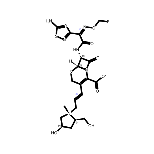 C[N+]1(C/C=C/C2=C(C(=O)[O-])N3C(=O)[C@@H](NC(=O)/C(=N\OCF)c4nsc(N)n4)[C@@H]3SC2)C[C@H](O)C[C@@H]1CO